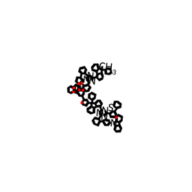 CC1(c2ccccc2)c2ccccc2-c2c(-c3nc(-c4ccccc4-c4ccc(-n5c6ccccc6c6cc(-c7cccc(C8(c9ccccc9)c9ccccc9-c9c(-c%10nc(-c%11ccccc%11-c%11ccc(-n%12c%13ccccc%13c%13ccccc%13%12)cc%11)nc(-c%11cccc%12c%11sc%11ccccc%11%12)n%10)cccc98)c7)ccc65)cc4)nc(-c4cccc5c4sc4ccccc45)n3)cccc21